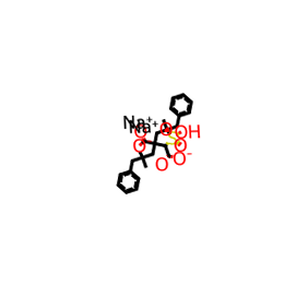 CC(C)(Cc1ccccc1)CC(CC(C)(C)Cc1ccccc1)(C(=O)[O-])C(C(=O)[O-])S(=O)(=O)O.[Na+].[Na+]